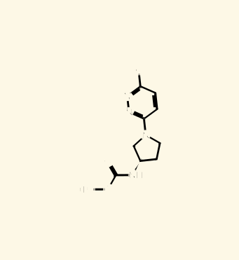 Cc1ccc(N2CC[C@@H](NC(=O)OC(C)(C)C)C2)nn1